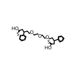 OC(=S)CC(CCOCCOCCOCCC(CC(O)=S)c1ccccc1)c1ccccc1